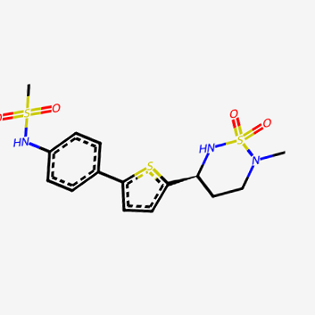 CN1CC[C@@H](c2ccc(-c3ccc(NS(C)(=O)=O)cc3)s2)NS1(=O)=O